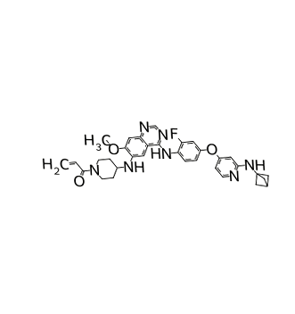 C=CC(=O)N1CCC(Nc2cc3c(Nc4ccc(Oc5ccnc(NC67CC(C6)C7)c5)cc4F)ncnc3cc2OC)CC1